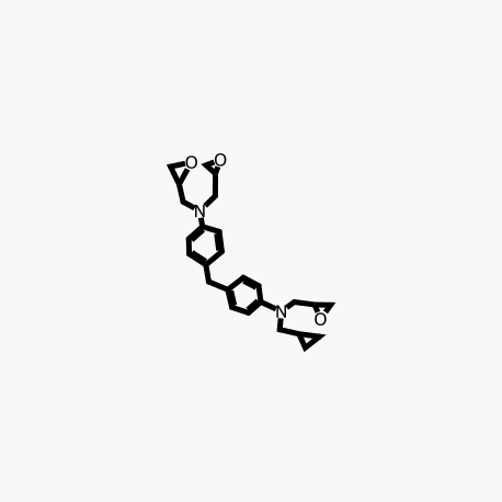 c1cc(N(CC2CC2)CC2CO2)ccc1Cc1ccc(N(CC2CO2)CC2CO2)cc1